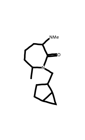 CNC1CCCC(C)N(CC2CCC3CC32)C1=O